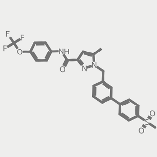 Cc1cc(C(=O)Nc2ccc(OC(F)(F)F)cc2)nn1Cc1cccc(-c2ccc(S(C)(=O)=O)cc2)c1